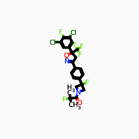 CC(C)(F)C(=O)N1CC(F)(c2ccc(C3=NOC(c4cc(Cl)c(F)c(Cl)c4)(C(F)(F)F)C3)cc2)C1